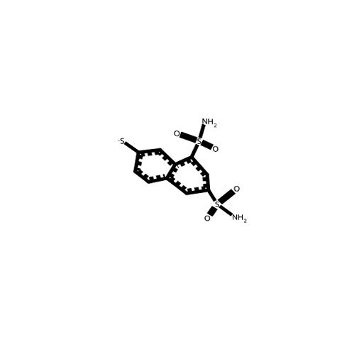 NS(=O)(=O)c1cc(S(N)(=O)=O)c2cc([S])ccc2c1